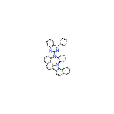 c1ccc(-c2nc(-n3c4cccc5ccc6c7ccc8ccccc8c7n(c7ccccc73)c6c54)nc3ccccc23)cc1